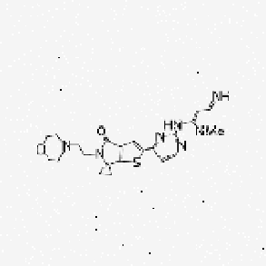 CN/C(=C\C=N)Nc1nccc(-c2cc3c(s2)C2(CC2)N(CCN2CCOCC2)C3=O)n1